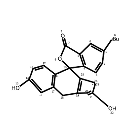 CCC(C)c1ccc2c(c1)C(=O)OC21c2ccc(O)cc2Cc2cc(O)ccc21